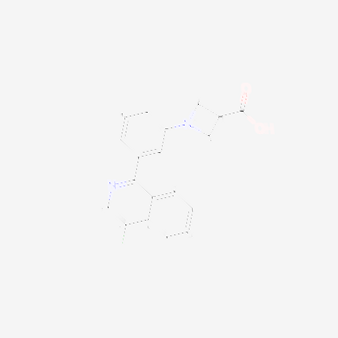 O=C(O)C1CN(c2cccc(-c3ncc(Cl)c4ccccc34)c2)C1